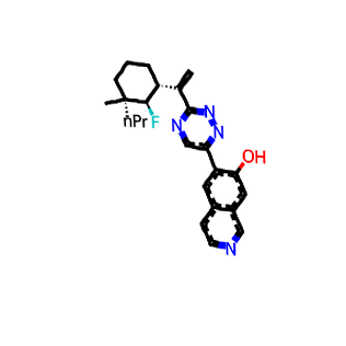 C=C(c1ncc(-c2cc3ccncc3cc2O)nn1)[C@H]1CCC[C@@](C)(CCC)[C@@H]1F